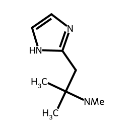 CNC(C)(C)Cc1ncc[nH]1